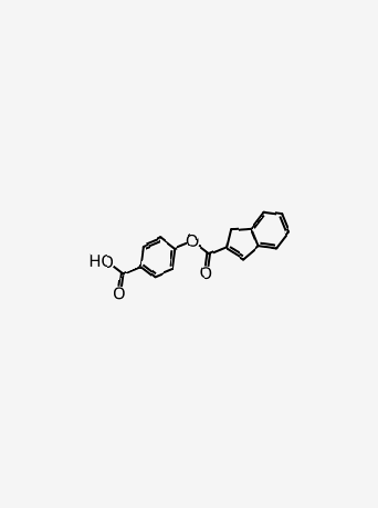 O=C(Oc1ccc(C(=O)O)cc1)C1=Cc2ccccc2C1